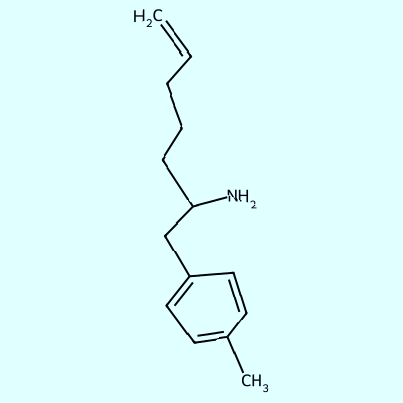 C=CCCCC(N)Cc1ccc(C)cc1